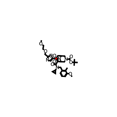 COCCOCc1ncc(C2=C(C(=O)N(Cc3cccc(OC)c3C)C3CC3)C3CN(C(=O)OC(C)(C)C)CC(C2)N3C(=O)O)s1